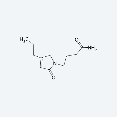 CCCC1=CC(=O)N(CCCC(N)=O)C1